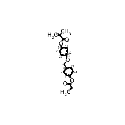 C=CC(=O)Oc1ccc(COc2ccc(OC(=O)C(=C)C)cc2)cc1